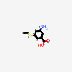 CCSc1cc(N)cc(C(=O)O)c1